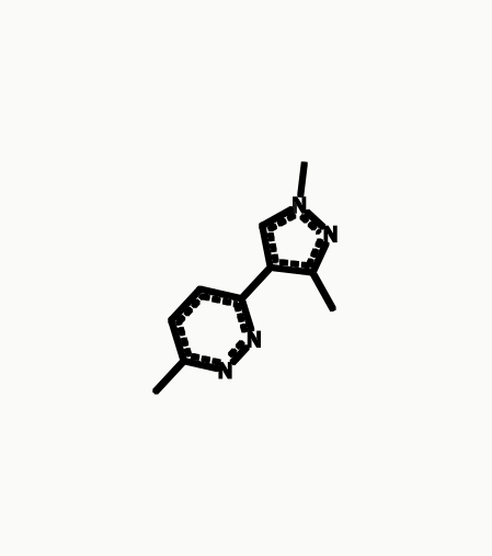 Cc1ccc(-c2cn(C)nc2C)nn1